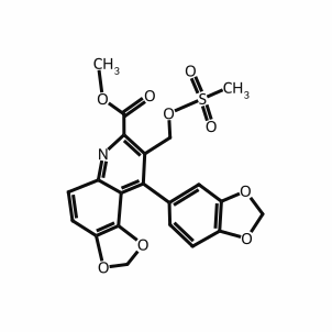 COC(=O)c1nc2ccc3c(c2c(-c2ccc4c(c2)OCO4)c1COS(C)(=O)=O)OCO3